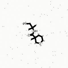 CC(C)CC(C)(C)NC(=O)C1(C)CCCOC1